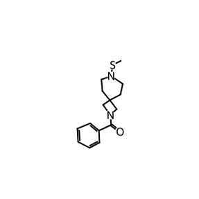 CSN1CCC2(CC1)CN(C(=O)c1ccccc1)C2